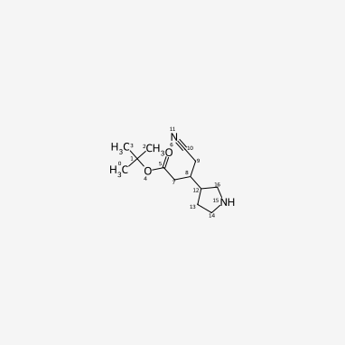 CC(C)(C)OC(=O)CC(CC#N)C1CCNC1